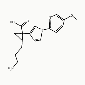 COc1ccc(-n2cnc(C3(C(=O)O)CC3CCCN)c2)nc1